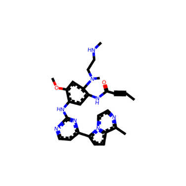 CC#CC(=O)Nc1cc(Nc2nccc(-c3ccc4c(C)nccn34)n2)c(OC)cc1N(C)CCNC